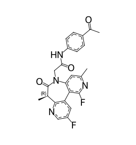 CC(=O)c1ccc(NC(=O)CN2C(=O)[C@H](C)c3ncc(F)cc3-c3c2cc(C)nc3F)cc1